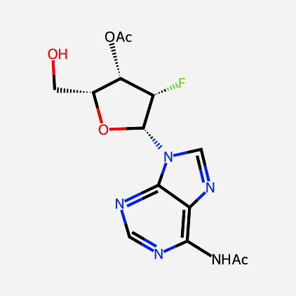 CC(=O)Nc1ncnc2c1ncn2[C@@H]1O[C@H](CO)[C@H](OC(C)=O)[C@@H]1F